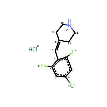 Cl.Fc1cc(Cl)cc(F)c1C=C1CCNCC1